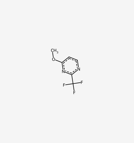 COc1ccnc(C(F)(F)F)n1